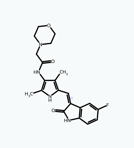 Cc1[nH]c(/C=C2\C(=O)Nc3ccc(F)cc32)c(C)c1NC(=O)CN1CCOCC1